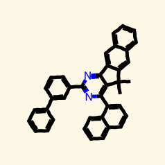 CC1(C)c2cc3ccccc3cc2-c2nc(-c3cccc(-c4ccccc4)c3)nc(-c3cccc4ccccc34)c21